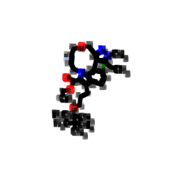 CCOC(=O)c1c(CCCO[Si](C)(C)C(C)(C)C)c2ccc(F)c3c2n1C/C=C\COCc1nn(C)c(CC)c1-3